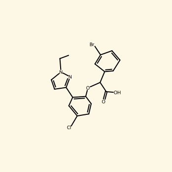 CCn1ccc(-c2cc(Cl)ccc2OC(C(=O)O)c2cccc(Br)c2)n1